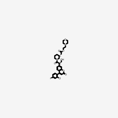 O=C(C[C@H]1CCCN(C(=O)[C@@H](CO)c2ccc3c(-c4ccc(F)cc4Cl)cc(=O)oc3c2)C1)OCCN1CCOCC1